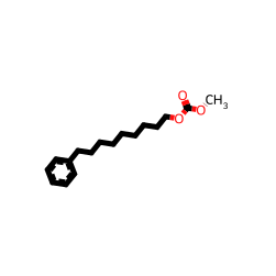 COC(=O)OCCCCCCCCCc1ccccc1